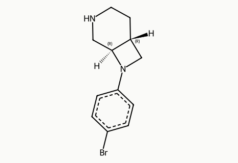 Brc1ccc(N2C[C@H]3CCNC[C@@H]32)cc1